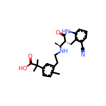 Cc1ccc(C(C)(C)C(=O)O)cc1CCN[C@@H](C)[C@H]1Cc2c(C#N)cccc2NC1=O